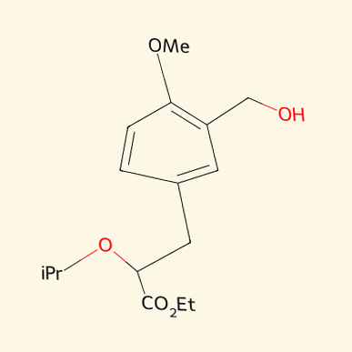 CCOC(=O)C(Cc1ccc(OC)c(CO)c1)OC(C)C